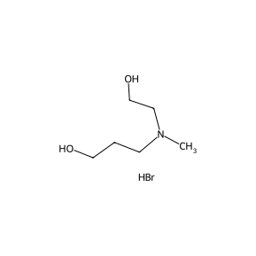 Br.CN(CCO)CCCO